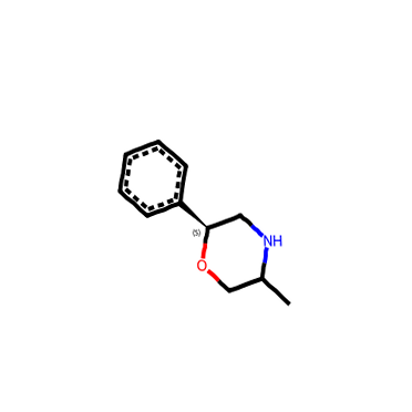 CC1CO[C@@H](c2ccccc2)CN1